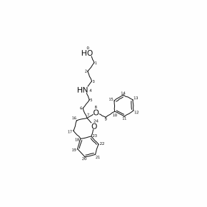 OCCCNCCC1(OCc2ccccc2)CCc2ccccc2O1